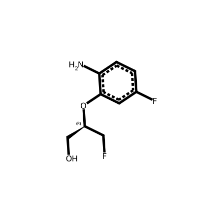 Nc1ccc(F)cc1O[C@H](CO)CF